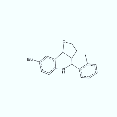 Cc1ccccc1C1Nc2ccc(C(C)(C)C)cc2C2OCCC12